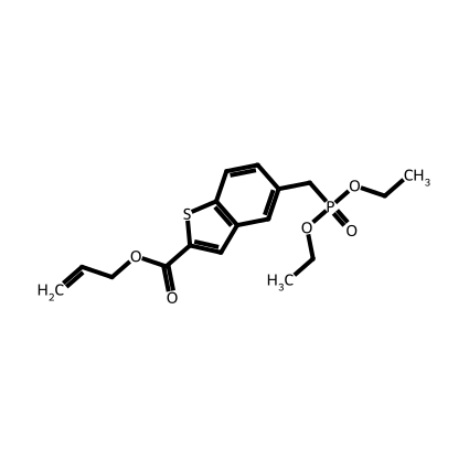 C=CCOC(=O)c1cc2cc(CP(=O)(OCC)OCC)ccc2s1